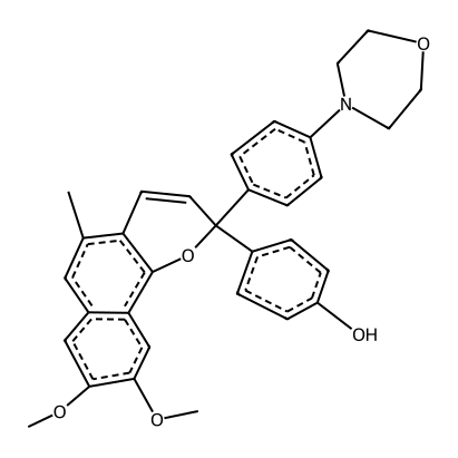 COc1cc2cc(C)c3c(c2cc1OC)OC(c1ccc(O)cc1)(c1ccc(N2CCOCC2)cc1)C=C3